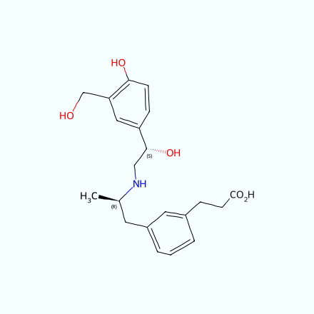 C[C@H](Cc1cccc(CCC(=O)O)c1)NC[C@@H](O)c1ccc(O)c(CO)c1